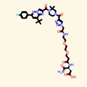 CC(C)(C)c1cc(-c2ccc(F)cc2)nn2cc(C(=O)N3CCN(C(=O)c4cn(CC(=O)NCCOCCOCCC(=O)N[C@@H](CC(=O)O)C(N)=O)nn4)CC3(C)C)nc12